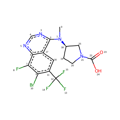 CN(c1ncnc2c(F)c(Br)c(C(F)(F)F)cc12)[C@@H]1CCN(C(=O)O)C1